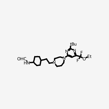 CCOC(F)(F)c1cc(N2CCCN(CCC3CCC(NC=O)CC3)CC2)nc(C(C)(C)C)n1